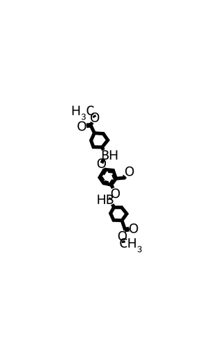 COC(=O)C1CCC(BOc2ccc(OBC3CCC(C(=O)OC)CC3)c(C=O)c2)CC1